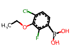 CCOc1c(Cl)ccc(B(O)O)c1F